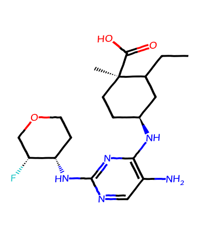 CCC1C[C@@H](Nc2nc(N[C@H]3CCOC[C@H]3F)ncc2N)CC[C@@]1(C)C(=O)O